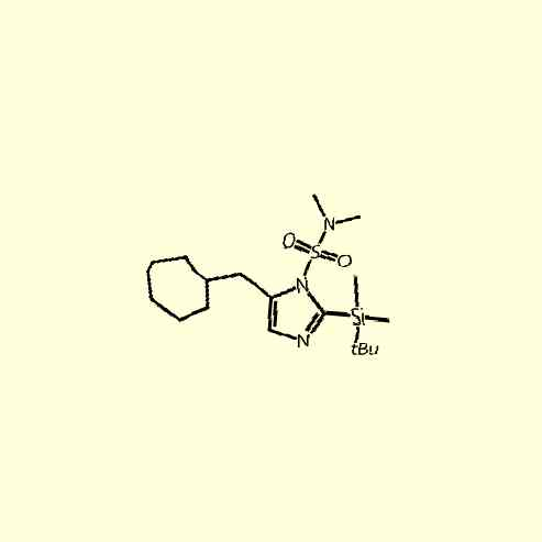 CN(C)S(=O)(=O)n1c(CC2CCCCC2)cnc1[Si](C)(C)C(C)(C)C